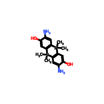 C[Si]1(C)c2cc(N)c(O)cc2[Si](C)(C)c2cc(N)c(O)cc21